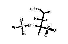 CCCCCCC(F)C(F)(F)C(F)(F)S(=O)(=O)[O-].CC[N+](CC)(CC)CC